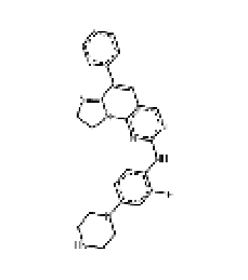 Fc1cc(N2CCNCC2)ccc1Nc1ncc2c(n1)N1CCN=C1C(c1ccccn1)=C2